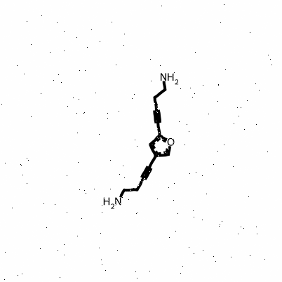 NCCC#Cc1coc(C#CCCN)c1